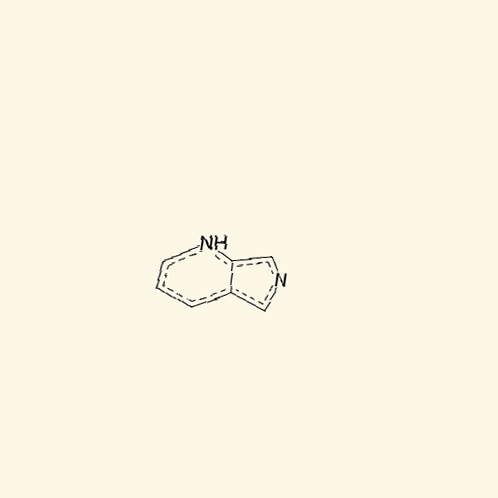 c1c[nH]c2cncc-2c1